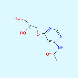 CC(=O)Nc1cc(OC[C@H](O)CO)ncn1